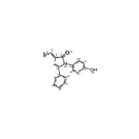 O=C1/C(=C/Br)C=C(c2ccccc2)N1c1ccc(O)cc1